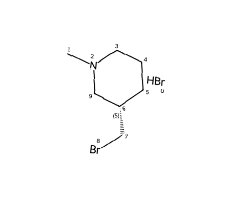 Br.CN1CCC[C@H](CBr)C1